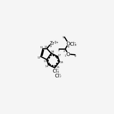 COC(C)OC.[Cl-].[Cl-].[Cl-].[Zr+3][CH]1C=Cc2ccccc21